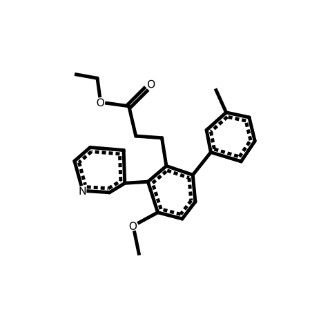 CCOC(=O)CCc1c(-c2cccc(C)c2)ccc(OC)c1-c1cccnc1